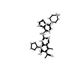 CC(=O)c1c(C)c2cnc(Nc3ncc(N4CCNCC4)n4ccnc34)nc2n(C2CCCC2)c1=O